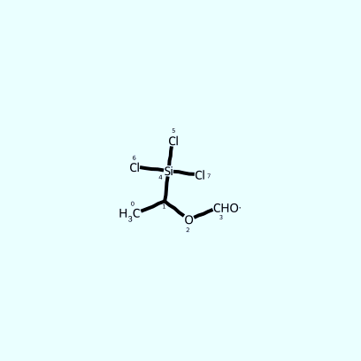 CC(O[C]=O)[Si](Cl)(Cl)Cl